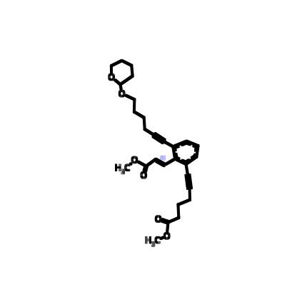 COC(=O)/C=C/c1c(C#CCCCCOC2CCCCO2)cccc1C#CCCCC(=O)OC